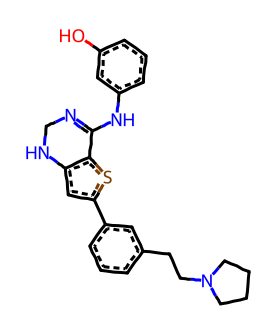 Oc1cccc(NC2=NCNc3cc(-c4cccc(CCN5CCCC5)c4)sc32)c1